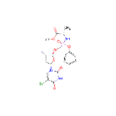 CC(C)OC(=O)[C@H](C)NP(=O)(CO[C@H]1O[C@@H](n2cc(Br)c(=O)[nH]c2=O)C[C@@H]1I)Oc1ccccc1